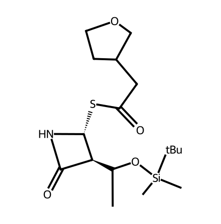 CC(O[Si](C)(C)C(C)(C)C)[C@H]1C(=O)N[C@@H]1SC(=O)CC1CCOC1